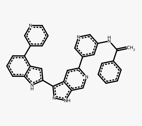 C=C(Nc1cncc(-c2cc3c(-c4cc5c(-c6cccnc6)cccc5[nH]4)n[nH]c3cn2)c1)c1ccccc1